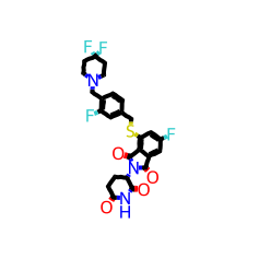 O=C1CCC(N2C(=O)c3cc(F)cc(SCc4ccc(CN5CCC(F)(F)CC5)c(F)c4)c3C2=O)C(=O)N1